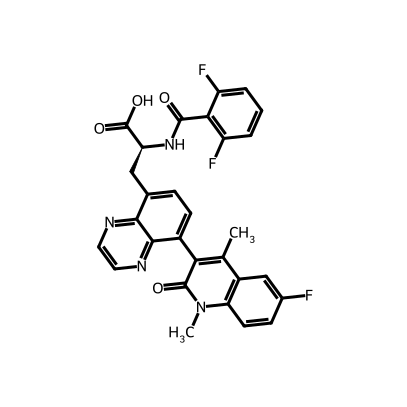 Cc1c(-c2ccc(C[C@H](NC(=O)c3c(F)cccc3F)C(=O)O)c3nccnc23)c(=O)n(C)c2ccc(F)cc12